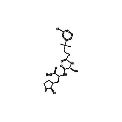 COC(=O)[C@H](C[C@@H]1CCNC1=O)NC(=O)[C@@H](NC(=O)OCC(C)(C)c1cccc(Cl)c1)C(C)(C)C